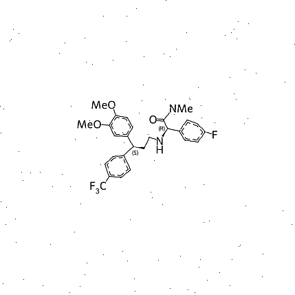 CNC(=O)[C@H](NCC[C@@H](c1ccc(C(F)(F)F)cc1)c1ccc(OC)c(OC)c1)c1ccc(F)cc1